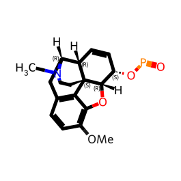 COc1ccc2c3c1O[C@H]1[C@@H](OP=O)C=C[C@H]4[C@@H](C2)N(C)CC[C@@]341